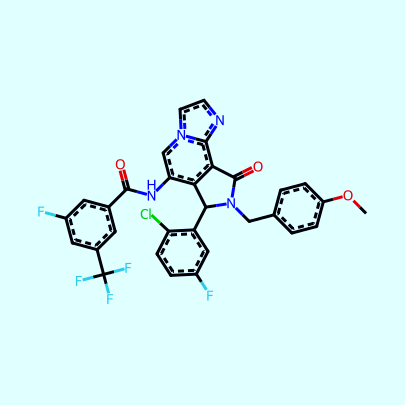 COc1ccc(CN2C(=O)c3c(c(NC(=O)c4cc(F)cc(C(F)(F)F)c4)cn4ccnc34)C2c2cc(F)ccc2Cl)cc1